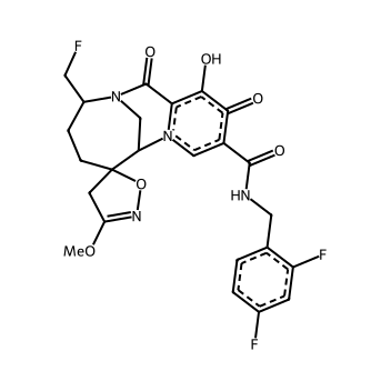 COC1=NOC2(CCC(CF)N3CC2n2cc(C(=O)NCc4ccc(F)cc4F)c(=O)c(O)c2C3=O)C1